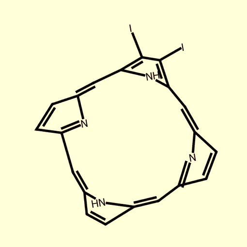 Ic1c(I)c2cc3nc(cc4ccc(cc5nc(cc1[nH]2)C=C5)[nH]4)C=C3